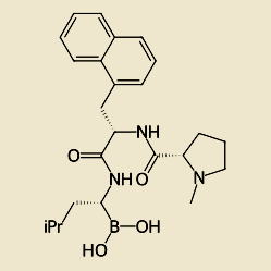 CC(C)C[C@H](NC(=O)[C@H](Cc1cccc2ccccc12)NC(=O)[C@@H]1CCCN1C)B(O)O